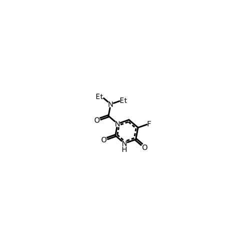 CCN(CC)C(=O)n1cc(F)c(=O)[nH]c1=O